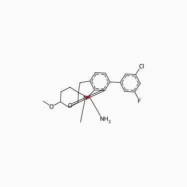 COC1CCC2(CC1)Cc1ccc(-c3cc(F)cc(Cl)c3)cc1C21C=C(N)N(C)C1=O